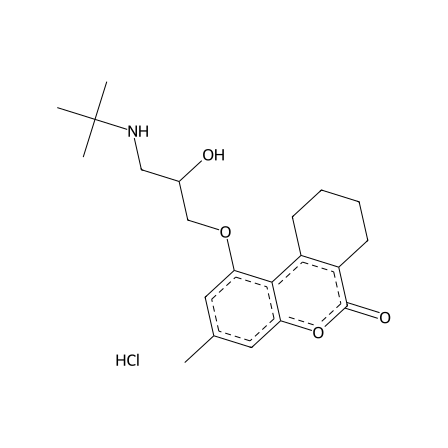 Cc1cc(OCC(O)CNC(C)(C)C)c2c3c(c(=O)oc2c1)CCCC3.Cl